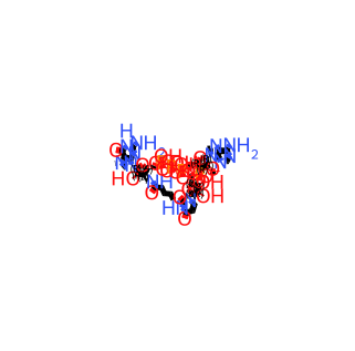 CCCCC(=O)NC[C@H]1[C@@H](O)[C@H](n2c[n+](C)c3c(=O)[nH]c(N)nc32)O[C@@H]1COP(=O)(O)OP(=O)(O)OP(=O)(O)OC[C@H]1O[C@@H](n2cnc3c(N)ncnc32)[C@H](OC)[C@@H]1P(=O)([O-])OC[C@H]1O[C@@H](n2ccc(=O)[nH]c2=O)[C@H](O)[C@@H]1O